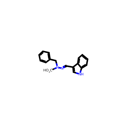 O=C(O)N(Cc1ccccc1)/N=C/c1c[nH]c2ccccc12